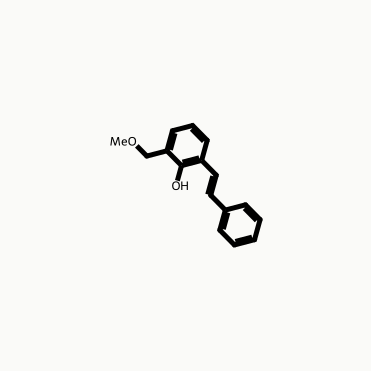 COCc1cccc(C=Cc2ccccc2)c1O